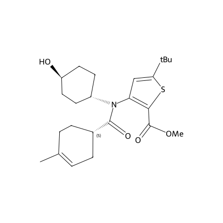 COC(=O)c1sc(C(C)(C)C)cc1N(C(=O)[C@@H]1CC=C(C)CC1)[C@H]1CC[C@H](O)CC1